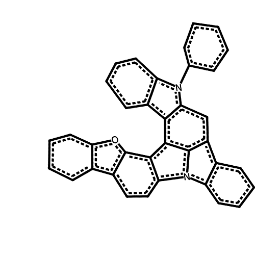 c1ccc(-n2c3ccccc3c3c4c5c6oc7ccccc7c6ccc5n5c6ccccc6c(cc32)c45)cc1